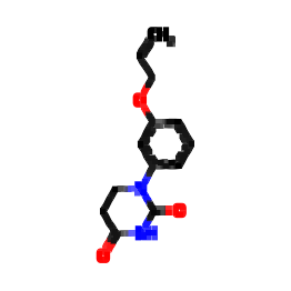 C=CCOc1cccc(N2CCC(=O)NC2=O)c1